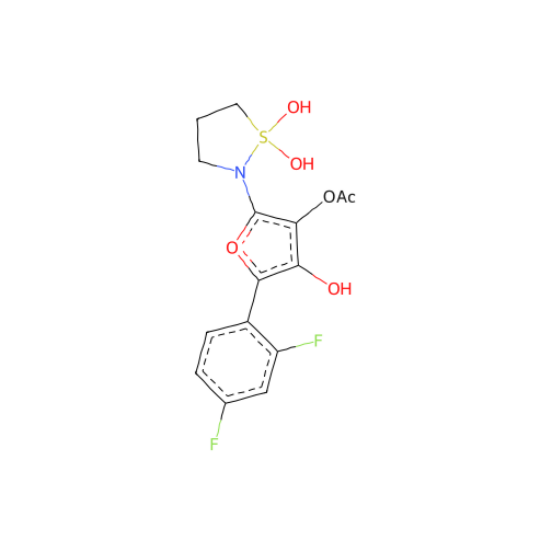 CC(=O)Oc1c(N2CCCS2(O)O)oc(-c2ccc(F)cc2F)c1O